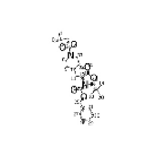 CC(C)(C)OC(=O)N1CCC(C[C@H]2C(=O)O[C@H](C(C)(C)C)N2C(=O)OCc2ccccc2)CC1